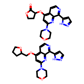 O=C1OCCC1Oc1cc(N2CCOCC2)nc2c(-c3ccn[nH]3)nccc12.c1cc(-c2nccc3c(OCC4CCCO4)cc(N4CCOCC4)nc23)[nH]n1